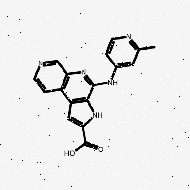 Cc1cc(Nc2nc3cnccc3c3cc(C(=O)O)[nH]c23)ccn1